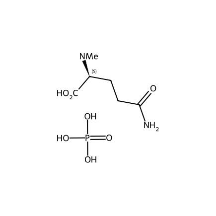 CN[C@@H](CCC(N)=O)C(=O)O.O=P(O)(O)O